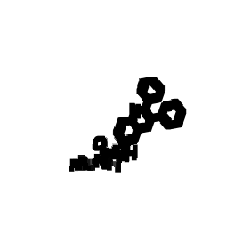 CCCCNC(=O)Nc1ccc2nc(-c3ccccc3)c(-c3ccccc3)cc2c1